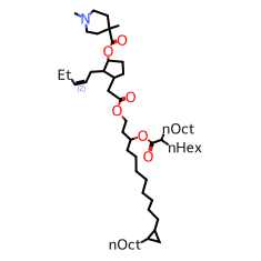 CC/C=C\CC1C(CC(=O)OCCC(CCCCCCCCC2CC2CCCCCCCC)OC(=O)C(CCCCCC)CCCCCCCC)CCC1OC(=O)C1(C)CCN(C)CC1